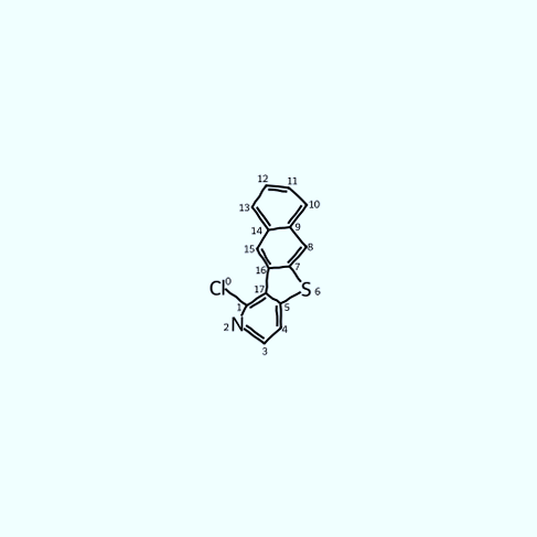 Clc1nccc2sc3cc4ccccc4cc3c12